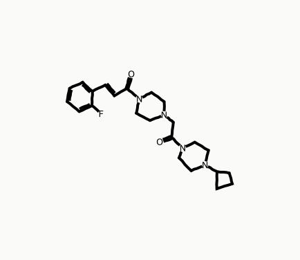 O=C(C=Cc1ccccc1F)N1CCN(CC(=O)N2CCN(C3CCC3)CC2)CC1